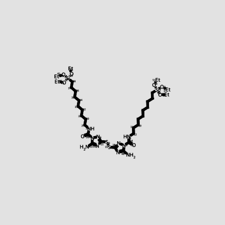 CCO[Si](CCCCCCCCCCNC(=O)n1nc(SSc2nc(N)n(C(=O)NCCCCCCCCCC[Si](OCC)(OCC)OCC)n2)nc1N)(OCC)OCC